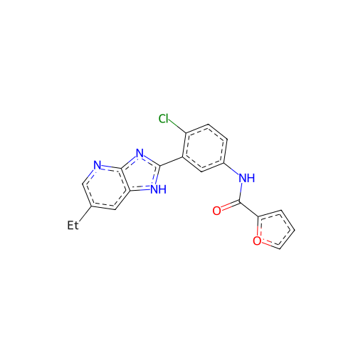 CCc1cnc2nc(-c3cc(NC(=O)c4ccco4)ccc3Cl)[nH]c2c1